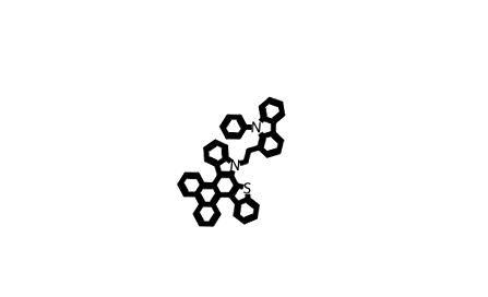 c1ccc(-n2c3ccccc3c3cccc(CCn4c5ccccc5c5c6c7ccccc7c7ccccc7c6c6c7ccccc7sc6c54)c32)cc1